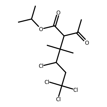 CC(=O)C(C(=O)OC(C)C)C(C)(C)C(Cl)CC(Cl)(Cl)Cl